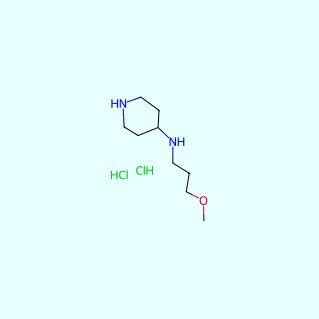 COCCCNC1CCNCC1.Cl.Cl